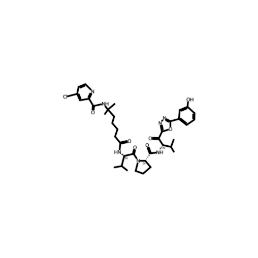 CC(C)[C@H](NC(=O)[C@@H]1CCCN1C(=O)[C@@H](NC(=O)CCCCC(C)(C)NC(=O)c1cc(Cl)ccn1)C(C)C)C(=O)c1nnc(-c2cccc(O)c2)o1